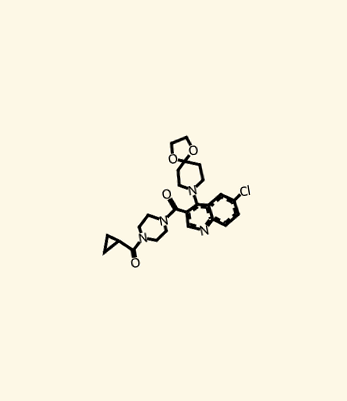 O=C(c1cnc2ccc(Cl)cc2c1N1CCC2(CC1)OCCO2)N1CCN(C(=O)C2CC2)CC1